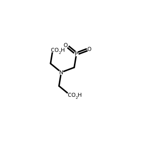 O=C(O)CN(CC(=O)O)CP(=O)=O